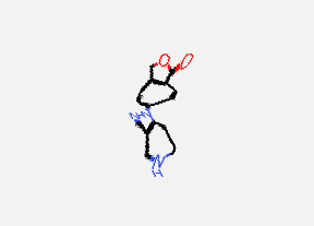 O=C1OCc2cc(-n3ncc4c3CCNC4)ccc21